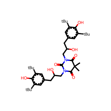 CC1(C)C(=O)N(CC(O)Cc2cc(C(C)(C)C)c(O)c(C(C)(C)C)c2)C(=O)N(CC(O)Cc2cc(C(C)(C)C)c(O)c(C(C)(C)C)c2)C1=O